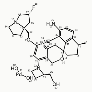 C[C@H]1CC[C@]2(Cc3nc(OC[C@@]45CCCN4C[C@H](F)C5)cc(N4CC[C@@H]4CO)c3CO2)c2c1ccc(N)c2C#N.[OH][Pd][OH]